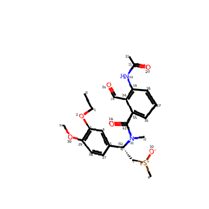 CCOc1cc([C@@H](C[S+](C)[O-])N(C)C(=O)c2cccc(NC(C)=O)c2C=O)ccc1OC